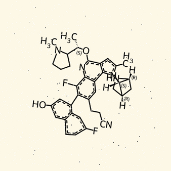 Cc1cc2c(O[C@@H](C)C3CCCN3C)nc3c(F)c(-c4cc(O)cc5ccc(F)cc45)c(CCC#N)cc3c2n1[C@H]1[C@H]2CN[C@@H]1C2